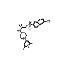 Cc1cc(N2CCC(N(C)C(=O)CCS(=O)(=O)c3ccc4cc(Cl)ccc4c3)CC2)cc(C)n1